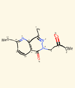 COC(=O)Cn1nc(C(C)C)c2nc(SC)ccc2c1=O